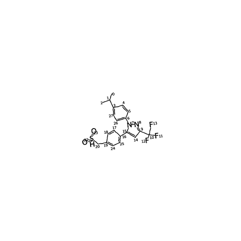 CC(C)c1ccc(-n2nc(C(F)(F)F)cc2-c2ccc(C[SH](=O)=O)cc2)cc1